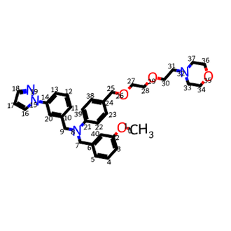 COc1cccc(CN(Cc2cccc(-n3cccn3)c2)c2ccc(COCCOCCN3CCOCC3)cc2)c1